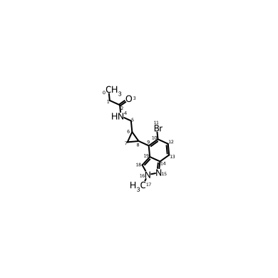 CCC(=O)NCC1CC1c1c(Br)ccc2nn(C)cc12